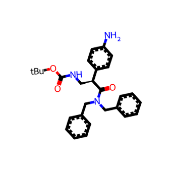 CC(C)(C)OC(=O)NC[C@H](C(=O)N(Cc1ccccc1)Cc1ccccc1)c1ccc(N)cc1